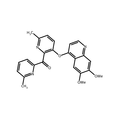 COc1cc2nccc(Oc3ccc(C)nc3C(=O)c3cccc(C)n3)c2cc1OC